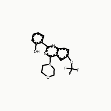 Oc1ccccc1-c1nc(N2CCOCC2)c2cc(OC(F)(F)F)ccc2n1